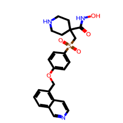 O=C(NO)C1(CS(=O)(=O)c2ccc(OCc3cccc4cnccc34)cc2)CCNCC1